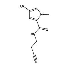 Cn1cc(N)cc1C(=O)NCCC#N